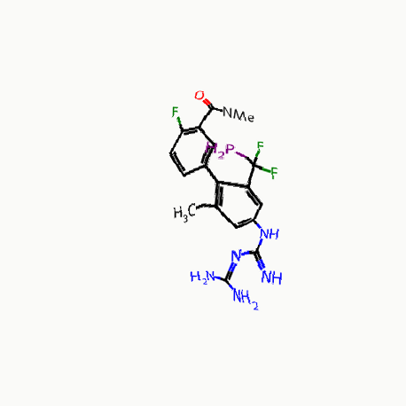 CNC(=O)c1cc(-c2c(C)cc(NC(=N)N=C(N)N)cc2C(F)(F)P)ccc1F